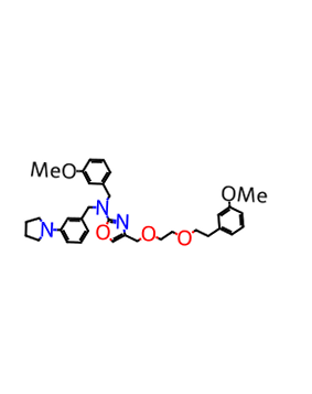 COc1cccc(CCOCCOCc2coc(N(Cc3cccc(OC)c3)Cc3cccc(N4CCCC4)c3)n2)c1